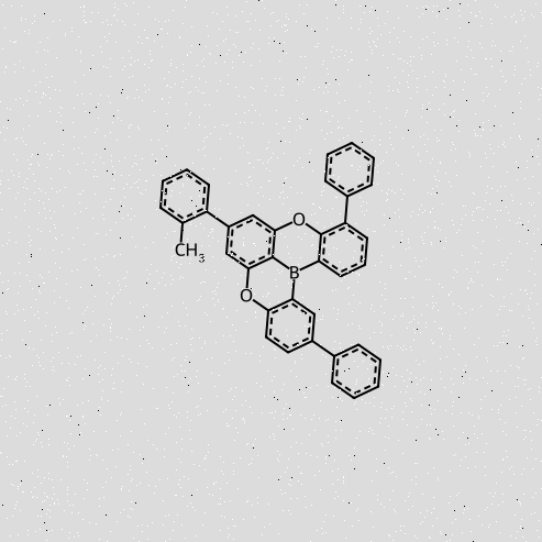 Cc1ccccc1-c1cc2c3c(c1)Oc1c(cccc1-c1ccccc1)B3c1cc(-c3ccccc3)ccc1O2